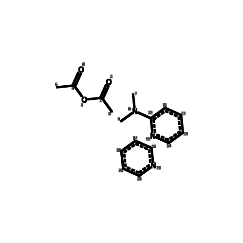 CC(=O)OC(C)=O.CN(C)c1ccccn1.c1ccncc1